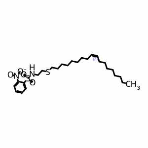 CCCCCCCC/C=C\CCCCCCCCSCCNS(=O)(=O)c1ccccc1[N+](=O)[O-]